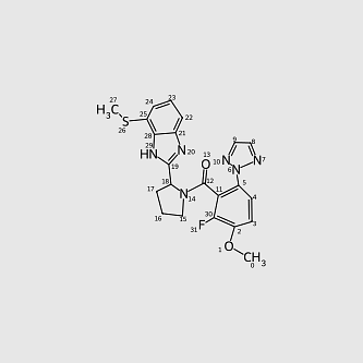 COc1ccc(-n2nccn2)c(C(=O)N2CCCC2c2nc3cccc(SC)c3[nH]2)c1F